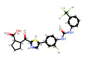 O=C(Nc1cccc(C(F)(F)F)c1)Nc1ccc(-c2cnc(C(=O)C3CCCC3C(=O)O)s2)cc1F